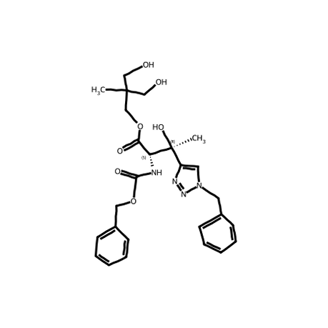 CC(CO)(CO)COC(=O)[C@@H](NC(=O)OCc1ccccc1)[C@@](C)(O)c1cn(Cc2ccccc2)nn1